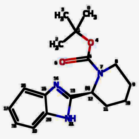 CC(C)(C)OC(=O)N1CCCC[C@H]1c1nc2ccccc2[nH]1